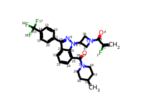 C=C(F)C(=O)N1CC(n2nc(-c3ccc(C(F)(F)F)cc3)c3cccc(C(=O)N4CCC(C)CC4)c32)C1